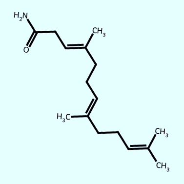 CC(C)=CCCC(C)=CCCC(C)=CCC(N)=O